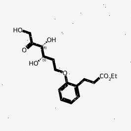 CCOC(=O)CCc1ccccc1OCC[C@H](O)[C@@H](O)C(=O)CO